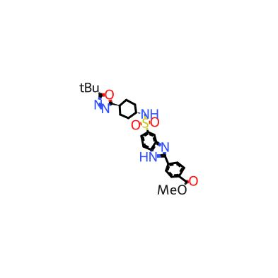 COC(=O)c1ccc(-c2nc3cc(S(=O)(=O)N[C@H]4CC[C@H](c5nnc(C(C)(C)C)o5)CC4)ccc3[nH]2)cc1